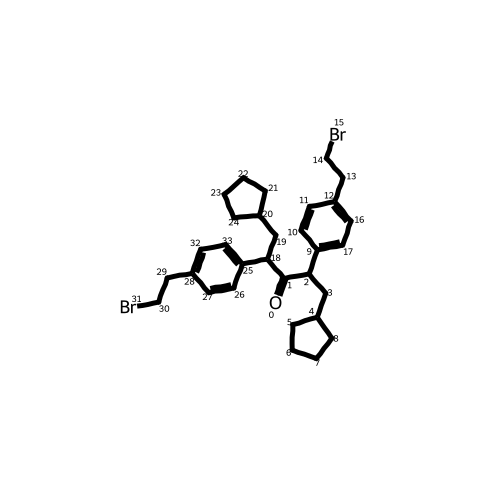 O=C(C(CC1CCCC1)c1ccc(CCBr)cc1)C(CC1CCCC1)c1ccc(CCBr)cc1